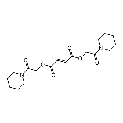 O=C(/C=C/C(=O)OCC(=O)N1CCCCC1)OCC(=O)N1CCCCC1